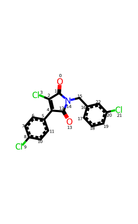 O=C1C(Cl)=C(c2ccc(Cl)cc2)C(=O)N1Cc1cccc(Cl)c1